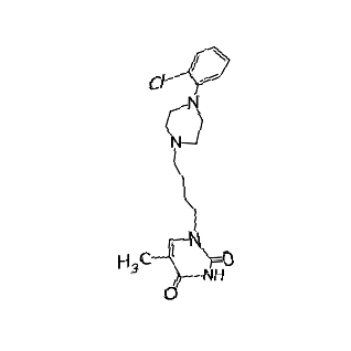 Cc1cn(CCCCN2CCN(c3ccccc3Cl)CC2)c(=O)[nH]c1=O